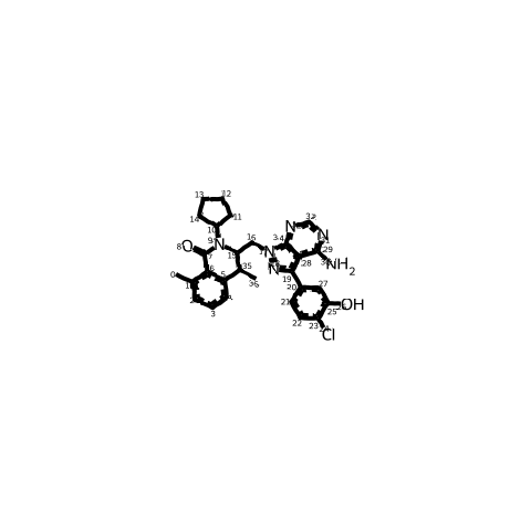 Cc1cccc2c1C(=O)N(C1CCCC1)C(Cn1nc(-c3ccc(Cl)c(O)c3)c3c(N)ncnc31)C2C